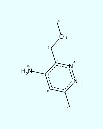 COCc1nnc(C)cc1N